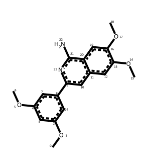 COc1cc(OC)cc(-c2cc3cc(OC)c(OC)cc3c(N)n2)c1